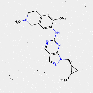 CCOC(=O)[C@@H]1C[C@@H]1Cn1ncc2cnc(Nc3cc4c(cc3OC)CCN(C)C4)nc21